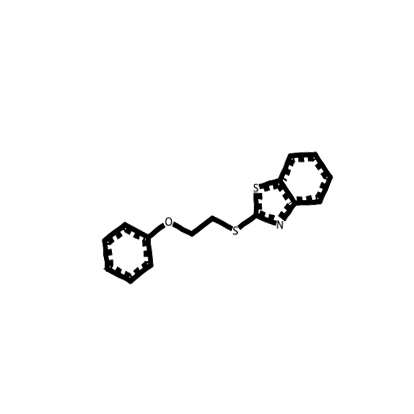 [c]1ccc(OCCSc2nc3ccccc3s2)cc1